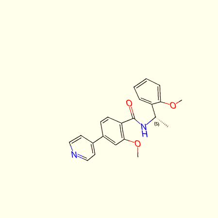 COc1cc(-c2ccncc2)ccc1C(=O)N[C@@H](C)c1ccccc1OC